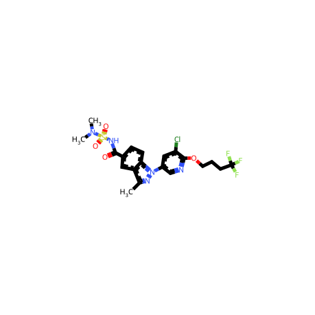 Cc1nn(-c2cnc(OCCCC(F)(F)F)c(Cl)c2)c2ccc(C(=O)NS(=O)(=O)N(C)C)cc12